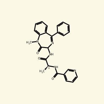 C[C@H](NC(=O)c1cccnc1)C(=O)NC1N=C(c2ccccc2)c2ccccc2N(C)C1=O